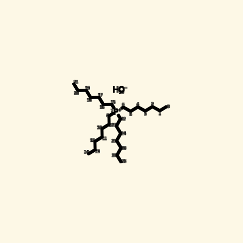 CCCCCCC[P+](CCCCCCC)(CCCCCCC)CCCCCCC.[OH-]